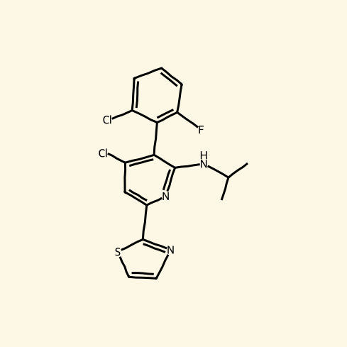 CC(C)Nc1nc(-c2nccs2)cc(Cl)c1-c1c(F)cccc1Cl